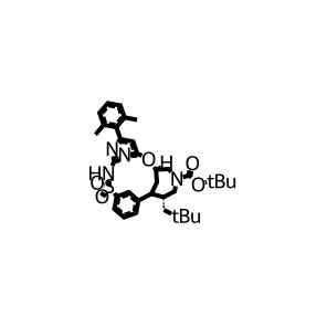 Cc1cccc(C)c1-c1cc2nc(n1)NS(=O)(=O)c1cccc(c1)C1C[C@@H](CN(C(=O)OC(C)(C)C)C[C@@H]1CC(C)(C)C)O2